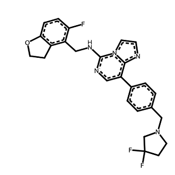 Fc1ccc2c(c1CNc1ncc(-c3ccc(CN4CCC(F)(F)C4)cc3)c3nccn13)CCO2